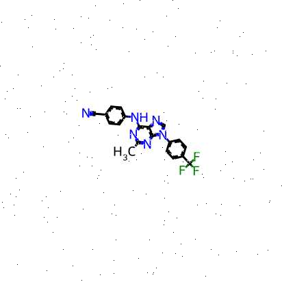 Cc1nc(Nc2ccc(C#N)cc2)c2ncn(-c3ccc(C(F)(F)F)cc3)c2n1